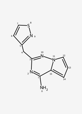 Nc1nc(Cc2ccsn2)nn2cccc12